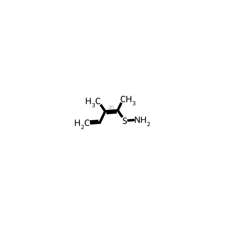 C=C/C(C)=C(/C)SN